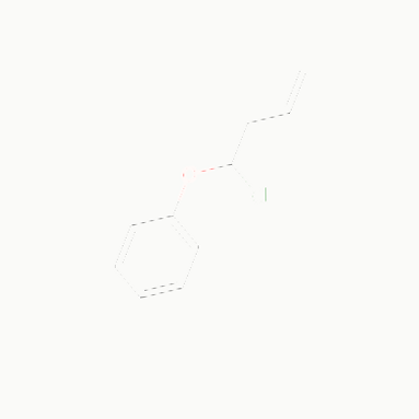 C=CCC(Cl)Oc1ccccc1